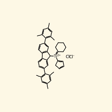 Cc1cc(C)c(-c2ccc3c(c2)[CH]([Ti+2]([C]2=CC=CC2)=[C]2CCCCC2)c2cc(-c4c(C)cc(C)cc4C)ccc2-3)c(C)c1.[Cl-].[Cl-]